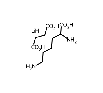 NCCCCC(N)C(=O)O.O=C(O)CCC(=O)O.[LiH]